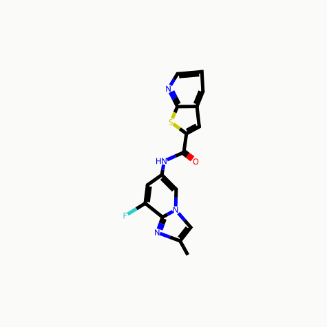 Cc1cn2cc(NC(=O)c3cc4cccnc4s3)cc(F)c2n1